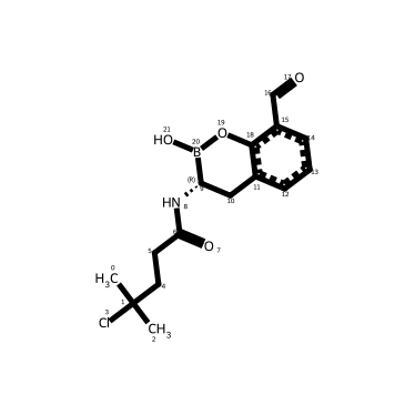 CC(C)(Cl)CCC(=O)N[C@H]1Cc2cccc(C=O)c2OB1O